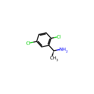 C[C@H](N)c1cc(Cl)ccc1Cl